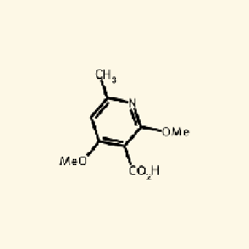 COc1cc(C)nc(OC)c1C(=O)O